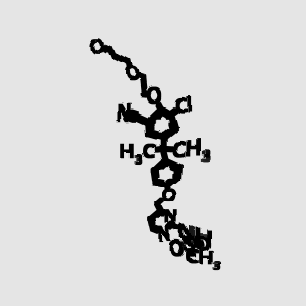 CC(C)(c1ccc(OCc2ccnc(NS(C)(=O)=O)n2)cc1)c1cc(Cl)c(OCCOCCC=O)c(C#N)c1